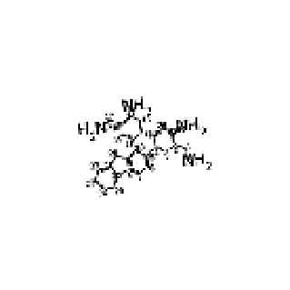 NCc1cc(-c2ccc3c(c2-c2ccc(N)c(CN)c2)Cc2ccccc2-3)ccc1N